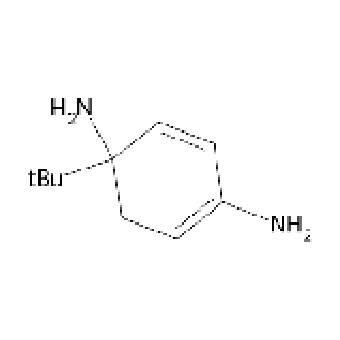 CC(C)(C)C1(N)C=CC(N)=CC1